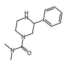 CN(C)C(=O)N1CCNC(c2ccccc2)C1